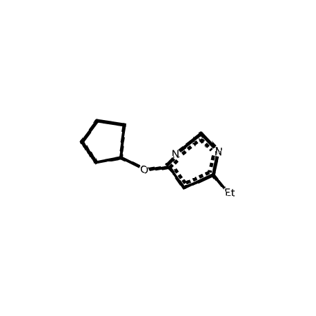 CCc1cc(OC2CCCC2)ncn1